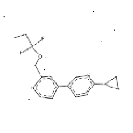 CCC(F)(F)OCc1cc(-c2ccc(C3CC3)nc2)ccn1